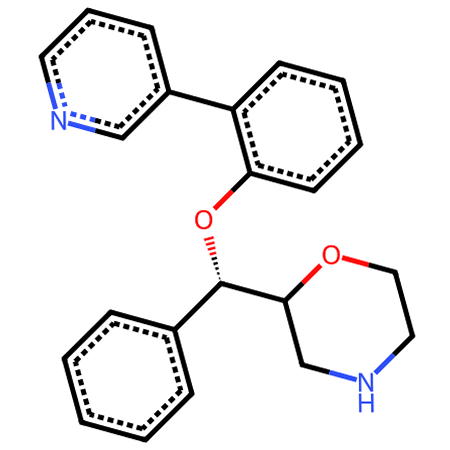 c1ccc([C@H](Oc2ccccc2-c2cccnc2)C2CNCCO2)cc1